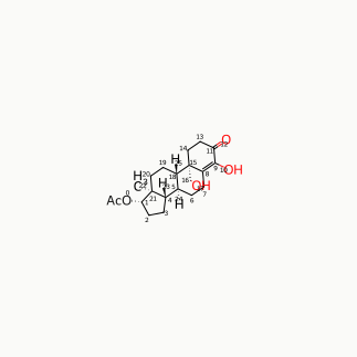 CC(=O)O[C@H]1CC[C@H]2[C@@H]3CCC4=C(O)C(=O)CC[C@]4(CO)[C@H]3CC[C@]12C